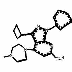 CN1CCN(c2cc(C(=O)O)nc3c2c(C2CCC2)nn3-c2ccccc2)CC1